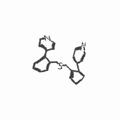 c1ccc(-c2ccncc2)c(CSCc2ccccc2-c2ccncc2)c1